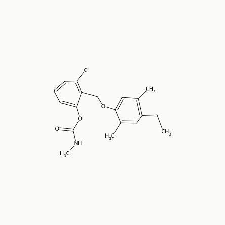 CCc1cc(C)c(OCc2c(Cl)cccc2OC(=O)NC)cc1C